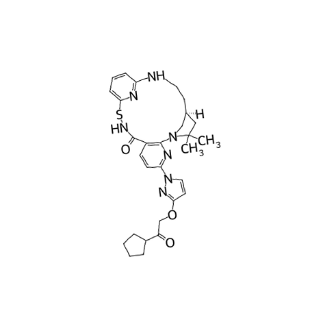 CC1(C)C[C@@H]2CCCNc3cccc(n3)SNC(=O)c3ccc(-n4ccc(OCC(=O)C5CCCC5)n4)nc3N1C2